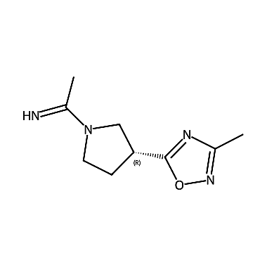 CC(=N)N1CC[C@@H](c2nc(C)no2)C1